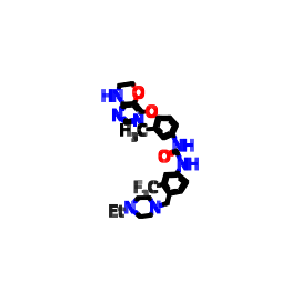 CCN1CCN(Cc2ccc(NC(=O)Nc3ccc(Oc4ncnc5c4OCCN5)c(C)c3)cc2C(F)(F)F)CC1